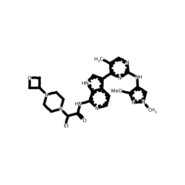 CCC(C(=O)Nc1nccc2c(-c3nc(Nc4cn(C)nc4OC)ncc3C)c[nH]c12)N1CCN(C2COC2)CC1